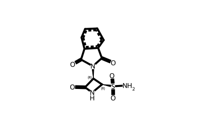 NS(=O)(=O)[C@H]1NC(=O)[C@H]1N1C(=O)c2ccccc2C1=O